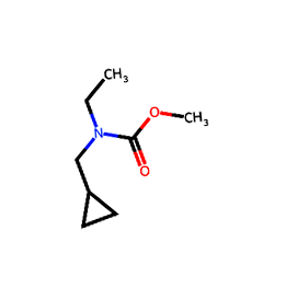 CCN(CC1CC1)C(=O)OC